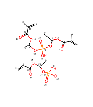 C=C(C)C(=O)OC(C)OP(=O)(O)OC(C)OC(=O)C(=C)C.C=CC(=O)OC(C)OP(=O)(O)O